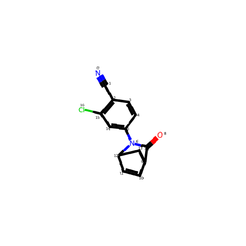 N#Cc1ccc(N2C(=O)C3C=CC2C3)cc1Cl